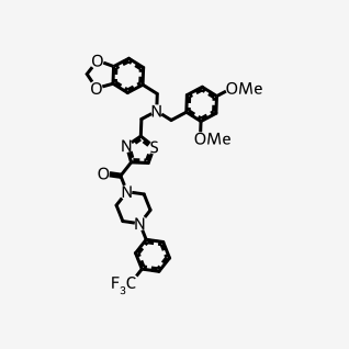 COc1ccc(CN(Cc2ccc3c(c2)OCO3)Cc2nc(C(=O)N3CCN(c4cccc(C(F)(F)F)c4)CC3)cs2)c(OC)c1